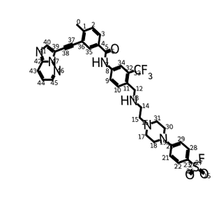 Cc1ccc(C(=O)Nc2ccc(CNCCN3CCN(c4ccc(S(=O)(=O)F)cc4)CC3)c(C(F)(F)F)c2)cc1C#Cc1cnc2cccnn12